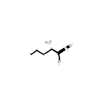 CCCCC(Cl)=C=O.O